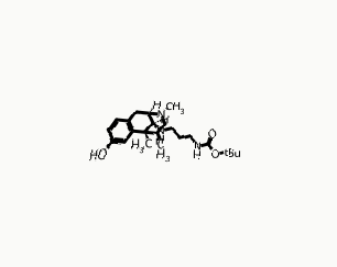 CC1CN(C)[C@@H]2Cc3ccc(O)cc3[C@]1(C)[C@@H]2NCCCNC(=O)OC(C)(C)C